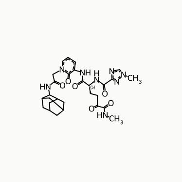 CNC(=O)C(=O)CC[C@H](NC(=O)c1ncn(C)n1)C(=O)Nc1cccn(CC(=O)NC2C3CC4CC(C3)CC2C4)c1=O